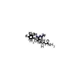 Cc1nc(NCCC(N)=O)[nH]c1C(=C\C(F)=C\F)/C(=N/O)Nc1ccc(F)c(Cl)c1